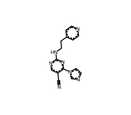 N#Cc1cnc(NCCc2ccncc2)nc1-n1ccnc1